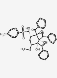 CO[C@H]1O[C@H](C(O)S(=O)(=O)c2ccc(C)cc2)[C@](O)(C(=O)c2ccccc2)[C@@](O)(C(=O)c2ccccc2)[C@@]1(O)C(=O)c1ccccc1